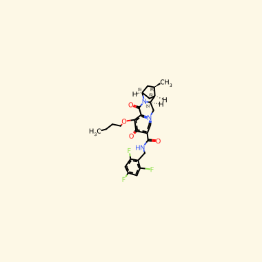 CCCCOc1c2n(cc(C(=O)NCc3c(F)cc(F)cc3F)c1=O)C[C@@H]1[C@H]3C[C@H](C[C@H]3C)N1C2=O